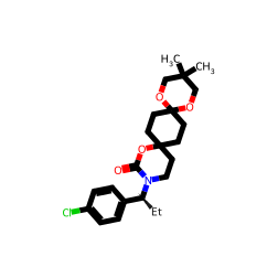 CC[C@@H](c1ccc(Cl)cc1)N1CCC2(CCC3(CC2)OCC(C)(C)CO3)OC1=O